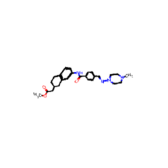 COC(=O)CC1CCc2ccc(NC(=O)c3ccc(/C=N/N4CCN(C)CC4)cc3)cc2C1